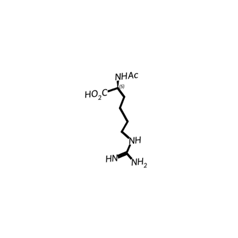 CC(=O)N[C@@H](CCCCNC(=N)N)C(=O)O